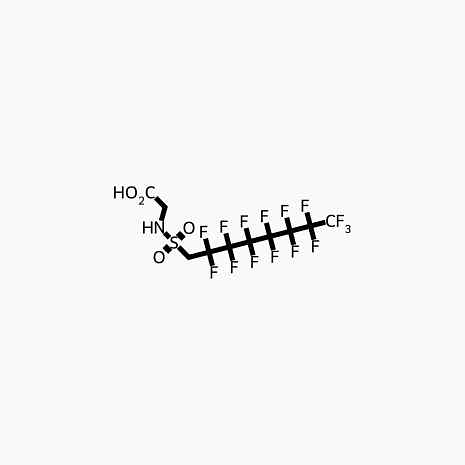 O=C(O)CNS(=O)(=O)CC(F)(F)C(F)(F)C(F)(F)C(F)(F)C(F)(F)C(F)(F)C(F)(F)F